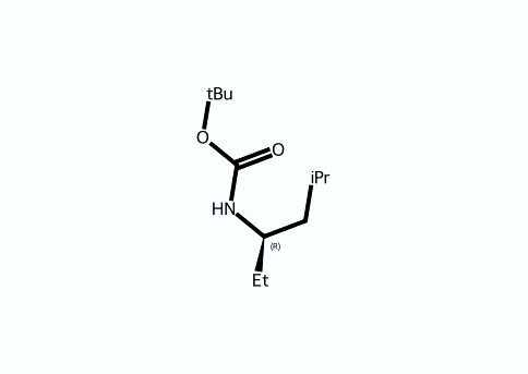 CC[C@H](CC(C)C)NC(=O)OC(C)(C)C